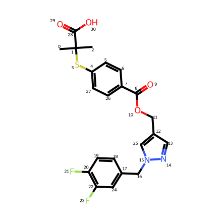 CC(C)(Sc1ccc(C(=O)OCc2cnn(Cc3ccc(F)c(F)c3)c2)cc1)C(=O)O